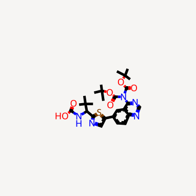 CC(C)(C)OC(=O)N(C(=O)OC(C)(C)C)c1ncnc2ccc(-c3cnc(C(NC(=O)O)C(C)(C)C)s3)cc12